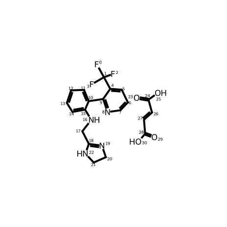 FC(F)(F)c1cccnc1-c1ccccc1NCC1=NCCN1.O=C(O)/C=C/C(=O)O